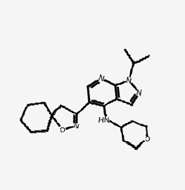 CC(C)n1ncc2c(NC3CCOCC3)c(C3=NOC4(CCCCC4)C3)cnc21